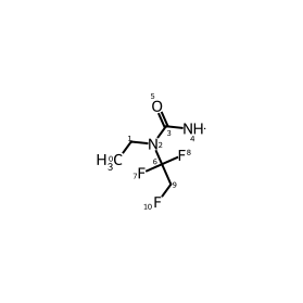 CCN(C([NH])=O)C(F)(F)CF